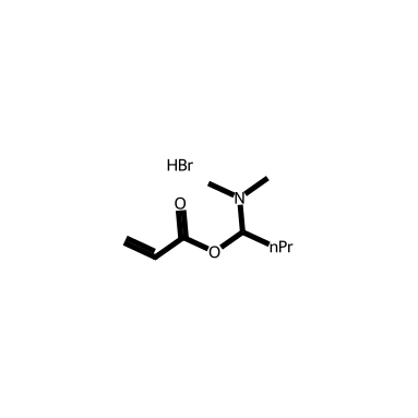 Br.C=CC(=O)OC(CCC)N(C)C